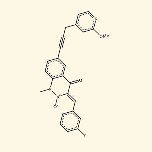 COc1cc(CC#Cc2ccc3c(c2)C(=O)/C(=C/c2cccc(F)c2)[S+]([O-])N3C)ccn1